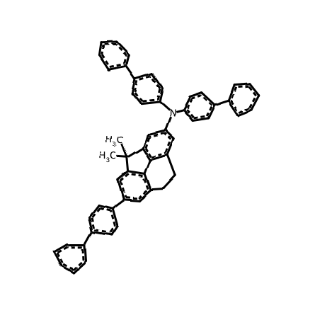 CC1(C)c2cc(-c3ccc(-c4ccccc4)cc3)cc3c2-c2c(cc(N(c4ccc(-c5ccccc5)cc4)c4ccc(-c5ccccc5)cc4)cc21)CC3